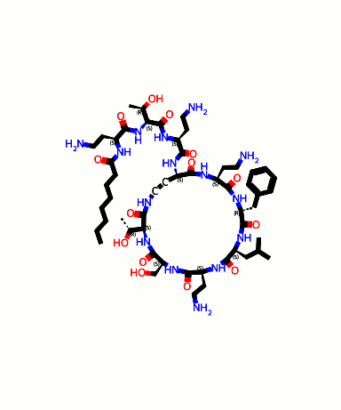 CCCCCCCC(=O)N[C@@H](CCN)C(=O)N[C@H](C(=O)N[C@@H](CCN)C(=O)N[C@H]1CCNC(=O)[C@H]([C@@H](C)O)NC(=O)[C@H](CO)NC(=O)[C@H](CCN)NC(=O)[C@H](CC(C)C)NC(=O)[C@@H](Cc2ccccc2)NC(=O)[C@H](CCN)NC1=O)[C@@H](C)O